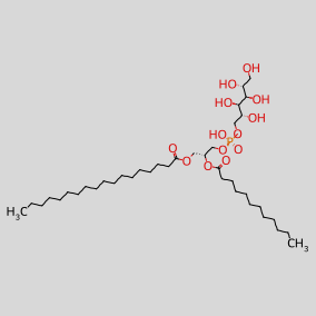 CCCCCCCCCCCCCCCCCC(=O)OC[C@H](COP(=O)(O)OC[C@@H](O)[C@@H](O)[C@H](O)[C@H](O)CO)OC(=O)CCCCCCCCCCC